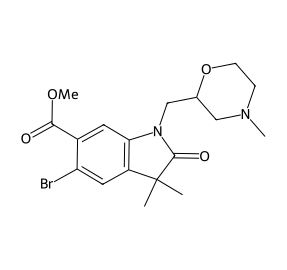 COC(=O)c1cc2c(cc1Br)C(C)(C)C(=O)N2CC1CN(C)CCO1